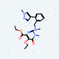 CCOC(=O)c1nc(N(C)Cc2ccccc2-c2cnn(C)c2)n(C)c(=O)c1OCC